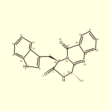 C[C@@H]1NC(=O)[C@@H](Cc2c[nH]c3ccccc23)n2c1nc1ccccc1c2=O